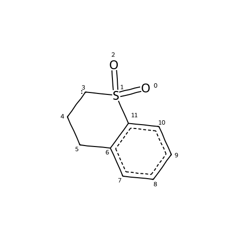 O=S1(=O)[C]CCc2ccccc21